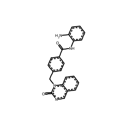 Nc1ccccc1NC(=O)c1ccc(Cn2c(=O)ncc3ccccc32)cc1